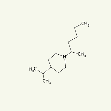 CCCCC(C)N1CCC(C(C)C)CC1